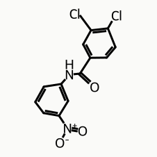 O=C(Nc1cccc([N+](=O)[O-])c1)c1ccc(Cl)c(Cl)c1